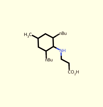 CCCCC1CC(C)CC(CCCC)C1NCCC(=O)O